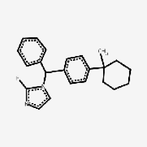 CC1(c2ccc(C(c3ccccc3)n3ccnc3F)cc2)CCCCC1